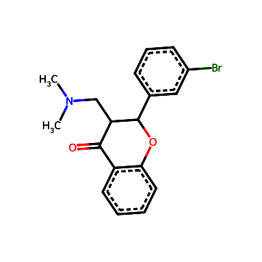 CN(C)CC1C(=O)c2ccccc2OC1c1cccc(Br)c1